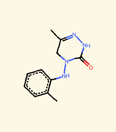 CC1=NNC(=O)N(Nc2ccccc2C)C1